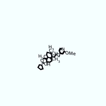 COc1cc(OCC[C@@H]2C(C)(C)CCC3[C@]4(C)CO[C@@H](C5CCCC5)O[C@@H]4CC[C@]32C)ccn1